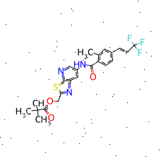 Cc1cc(/C=C/C(F)(F)F)ccc1C(=O)Nc1cnc2sc(COC(=O)C(C)(C)C)nc2c1